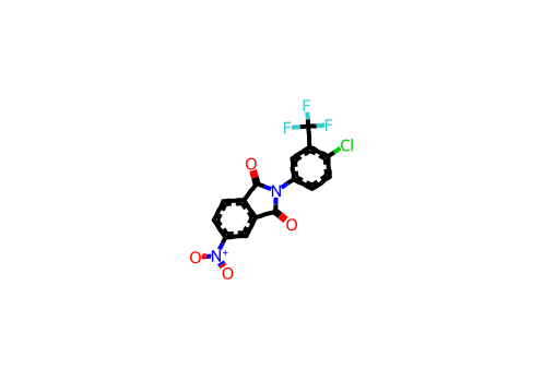 O=C1c2ccc([N+](=O)[O-])cc2C(=O)N1c1ccc(Cl)c(C(F)(F)F)c1